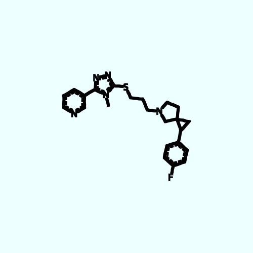 Cn1c(SCCCN2CCC3(CC3c3ccc(F)cc3)C2)nnc1-c1cccnc1